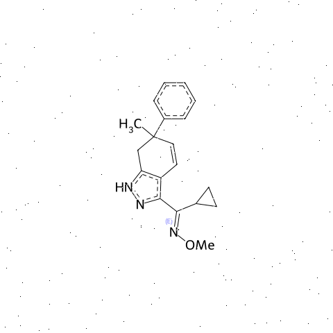 CO/N=C(/c1n[nH]c2c1C=CC(C)(c1ccccc1)C2)C1CC1